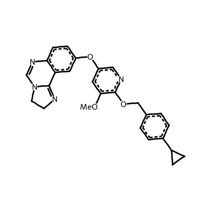 COc1cc(Oc2ccc3c(c2)C2=NCCN2C=N3)cnc1OCc1ccc(C2CC2)cc1